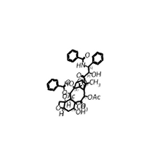 CC(=O)O[C@H]1C(=O)[C@@]2(C)[C@H]([C@H](OC(=O)c3ccccc3)[C@]3(O)CCC(C)=C1C3(C)OC(=O)[C@H](O)[C@@H](NC(=O)c1ccccc1)c1ccccc1)[C@]1(OC(C)=O)CO[C@@H]1C[C@@H]2O